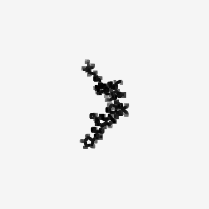 CCOP(=O)(OCC)C(CO)(Cc1nnn(COCC[Si](C)(C)C)n1)OC[C@H]1O[C@@H](n2ncc3c(OC(=O)NC4CCCC4)nc(Cl)nc32)[C@@H]2OC(C)(C)O[C@@H]21